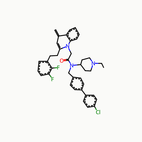 C=C1C=C(CCc2cccc(F)c2F)N(CC(=O)N(Cc2ccc(-c3ccc(Cl)cc3)cc2)C2CCN(CC)CC2)c2ccccc21